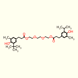 Cc1cc(CCC(=O)OCCOCCOCCOC(=O)CCc2cc(C)c(O)c(C(C)(C)C)c2)cc(C(C)C)c1O